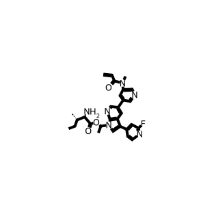 C=CC(=O)N(C)c1cncc(-c2cnc3c(c2)c(-c2ccnc(F)c2)cn3C(C)OC(=O)[C@@H](N)[C@@H](C)CC)c1